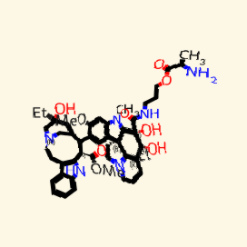 CCC1(O)CC2C[N@](CCc3c([nH]c4ccccc34)[C@H](C(=O)OC)C2c2cc3c(cc2OC)N(C)C2[C@]34CCN3CC=C[C@](CC)(C34)[C@@H](O)[C@]2(O)C(=O)NCCCOC(=O)C(C)N)C1